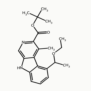 CCOC(C)c1cccc2[nH]c3cnc(C(=O)OC(C)(C)C)c(C)c3c12